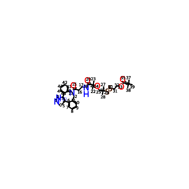 C/N=N\C1=C(/C)c2ccccc2CN(C(=O)CCNC(=O)C(C)(C)OCC(C)(C)SSCCOC(=O)C(C)(C)C)c2ccccc21